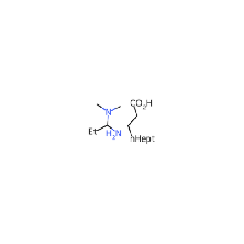 CCC(N)N(C)C.CCCCCCCCCC(=O)O